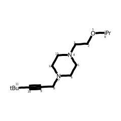 CC(C)OCCN1CCN(CC#CC(C)(C)C)CC1